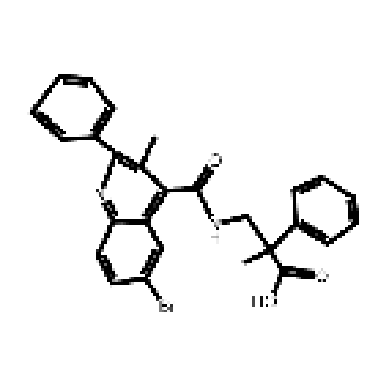 Cc1c(-c2ccccc2)nc2ccc(Br)cc2c1C(=O)NCC(C)(C(=O)O)c1ccccc1